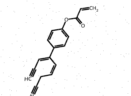 C#C/C=C(\C=C/CC#N)c1ccc(OC(=O)C=C)cc1